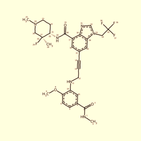 CNC(=O)c1ccc(OC)c(NCC#Cc2cc(C(=O)N[C@H]3CCN(C)C[C@]3(C)F)c3ncn(CC(F)(F)F)c3c2)c1